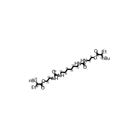 CCCCC(CC)C(=O)OCCNC(=O)NCCCCCCNC(=O)NCCOC(=O)C(CC)CCCC